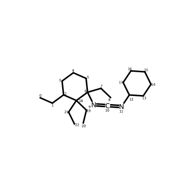 CCC1CCCC(CC)(N=C=NC2CCCCC2)C1(CC)CC